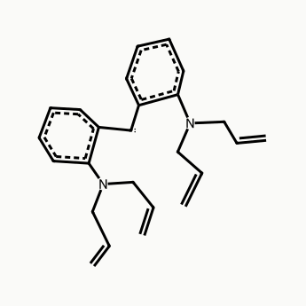 C=CCN(CC=C)c1ccccc1[C]c1ccccc1N(CC=C)CC=C